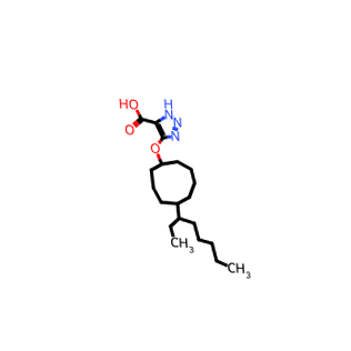 CCCCCC(CC)C1CCCCC(Oc2nn[nH]c2C(=O)O)CCC1